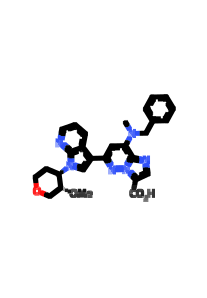 CO[C@@H]1COCC[C@H]1n1cc(-c2cc(N(C)Cc3ccccc3)c3ncc(C(=O)O)n3n2)c2cccnc21